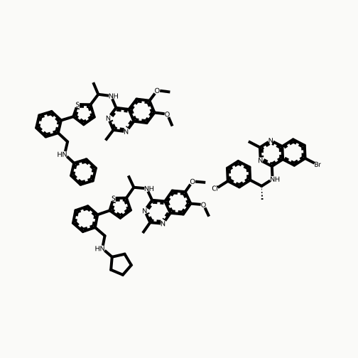 COc1cc2nc(C)nc(NC(C)c3ccc(-c4ccccc4CNC4CCCC4)s3)c2cc1OC.COc1cc2nc(C)nc(NC(C)c3ccc(-c4ccccc4CNc4ccccc4)s3)c2cc1OC.Cc1nc(N[C@H](C)c2cccc(Cl)c2)c2cc(Br)ccc2n1